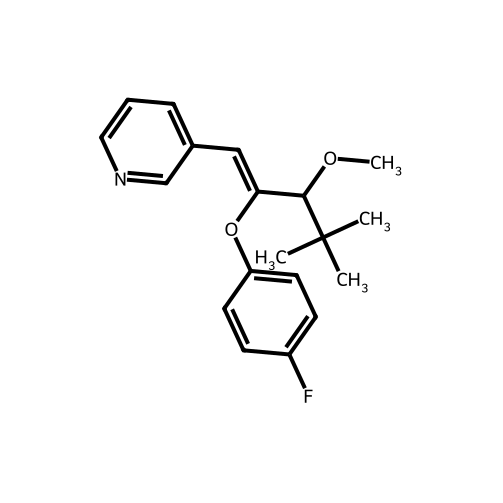 COC(C(=Cc1cccnc1)Oc1ccc(F)cc1)C(C)(C)C